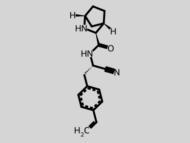 C=Cc1ccc(C[C@@H](C#N)NC(=O)[C@H]2N[C@@H]3CC[C@H]2C3)cc1